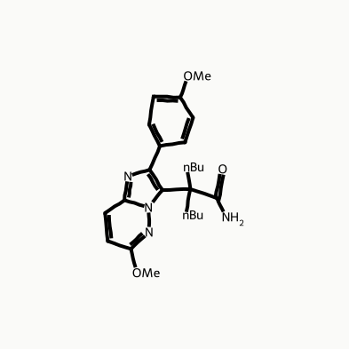 CCCCC(CCCC)(C(N)=O)c1c(-c2ccc(OC)cc2)nc2ccc(OC)nn12